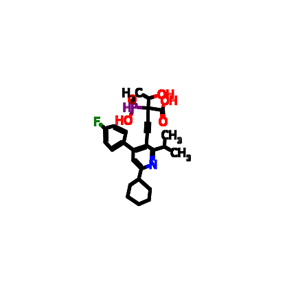 CC(C)c1nc(C2CCCCC2)cc(-c2ccc(F)cc2)c1C#CC(C(=O)O)(C(C)O)[PH](=O)O